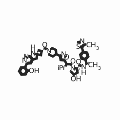 Cc1ncsc1-c1ccc([C@H](C)NC(=O)[C@@H]2C[C@@H](O)CN2C(=O)C(c2cc(C3CCN(C(=O)[C@H]4C[C@@]5(Cc6cc(-c7ccccc7O)nnc6N5)C4)CC3)no2)C(C)C)cc1